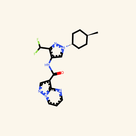 C[C@H]1CC[C@H](n2cc(NC(=O)c3cnn4cccnc34)c(C(F)F)n2)CC1